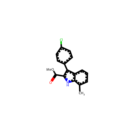 COC(=O)c1[nH]c2c(C)cccc2c1-c1ccc(Cl)cc1